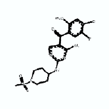 COc1cc(Cl)c(F)cc1C(=O)c1cnc(NC2CCN(S(C)(=O)=O)CC2)nc1N